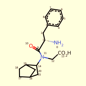 N[C@@H](Cc1ccccc1)C(=O)N(CC(=O)O)C1CC2CCC1C2